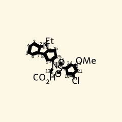 CCn1c2ccccc2c2cc(N(CC(=O)O)S(=O)(=O)c3cc(Cl)cc(OC)c3)ccc21